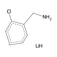 NCc1cc[c]cc1Cl.[LiH]